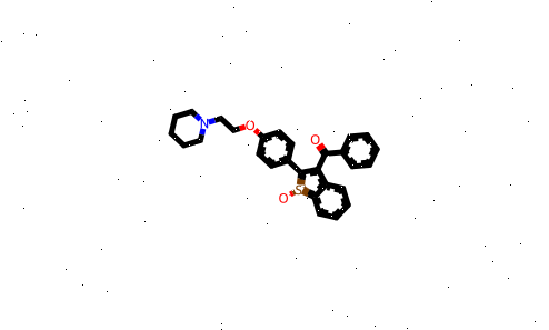 O=C(c1ccccc1)c1c(-c2ccc(OCCN3CCCCC3)cc2)[s+]([O-])c2ccccc12